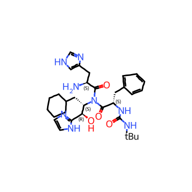 CC(C)(C)NC(=O)N[C@@H](Cc1ccccc1)C(=O)N(C(=O)[C@@H](N)Cc1c[nH]cn1)[C@@H](CC1CCCCC1)[C@@H](O)c1ncc[nH]1